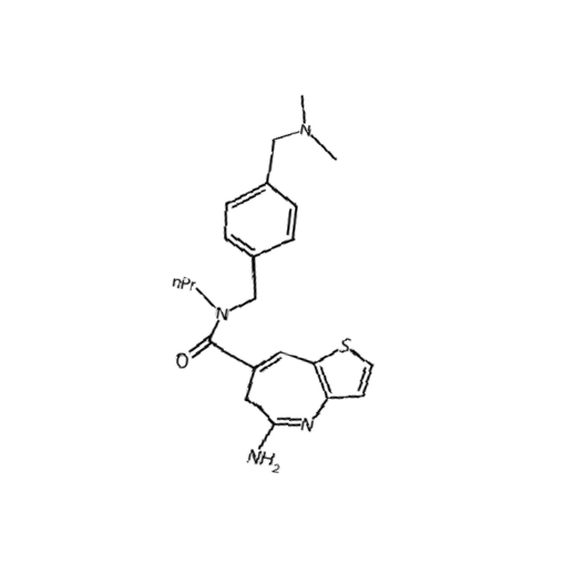 CCCN(Cc1ccc(CN(C)C)cc1)C(=O)C1=Cc2sccc2N=C(N)C1